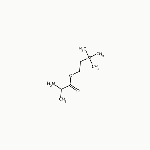 CC(N)C(=O)OCC[Si](C)(C)C